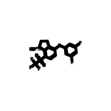 O=S(=O)(c1ccc(Oc2cc(F)cc(F)c2)c2c1[C@H](O)CC2)C(F)(F)F